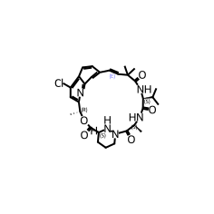 CC(C)[C@@H]1NC(=O)C(C)(C)/C=C/c2ccc3c(Cl)cc(nc3c2)[C@@H](C)OC(=O)[C@@H]2CCCN(N2)C(=O)[C@H](C)NC1=O